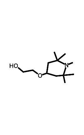 CN1C(C)(C)CC(OCCO)CC1(C)C